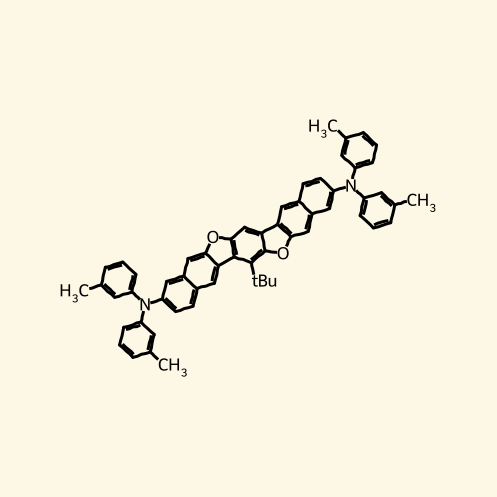 Cc1cccc(N(c2cccc(C)c2)c2ccc3cc4c(cc3c2)oc2c(C(C)(C)C)c3c(cc24)oc2cc4cc(N(c5cccc(C)c5)c5cccc(C)c5)ccc4cc23)c1